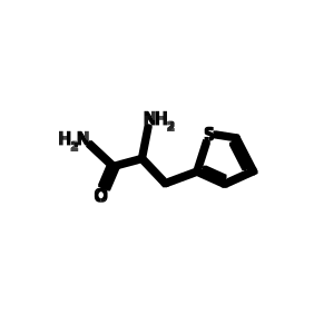 NC(=O)C(N)Cc1cccs1